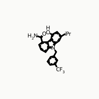 CC(C)c1cc(O)c2c3c(C(N)=O)cccc3n(Cc3cccc(C(F)(F)F)c3)c2c1